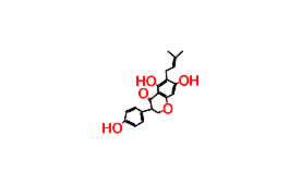 CC(C)=CCc1c(O)cc2c(c1O)C(=O)C(c1ccc(O)cc1)CO2